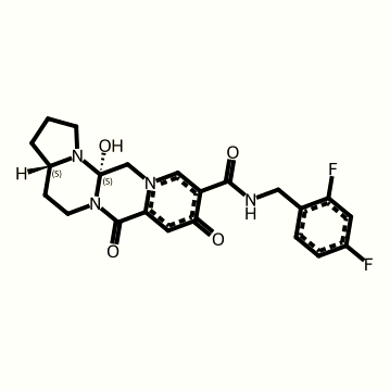 O=C(NCc1ccc(F)cc1F)c1cn2c(cc1=O)C(=O)N1CC[C@@H]3CCCN3[C@@]1(O)C2